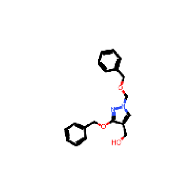 OCc1cn(COCc2ccccc2)nc1OCc1ccccc1